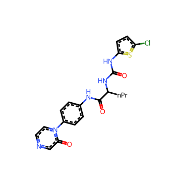 CCCC(NC(=O)Nc1ccc(Cl)s1)C(=O)Nc1ccc(-n2ccncc2=O)cc1